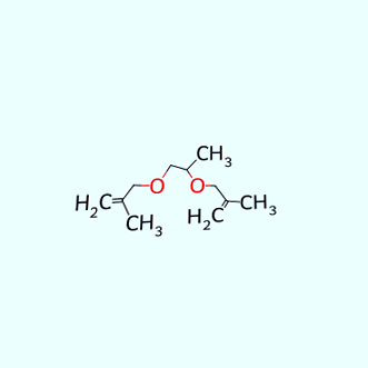 C=C(C)COCC(C)OCC(=C)C